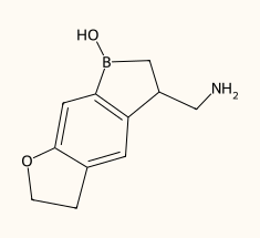 NCC1CB(O)c2cc3c(cc21)CCO3